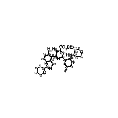 CCOC(=O)c1nc(-c2cc(F)cnc2N[C@@H]2CCOC[C@H]2O)nc(-c2c(C)ccc3c2cnn3C2CCCCO2)c1N